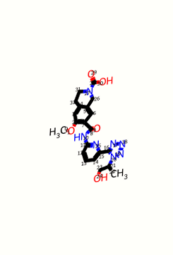 COc1cc2c(cc1C(=O)Nc1cccc(-c3nnnn3C(C)CO)n1)CN(C(=O)O)CC2